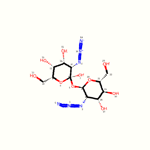 [N-]=[N+]=N[C@@H]1[C@@H](O[C@@]2(O)O[C@H](CO)[C@H](O)[C@H](O)[C@@H]2N=[N+]=[N-])O[C@H](CO)[C@@H](O)[C@@H]1O